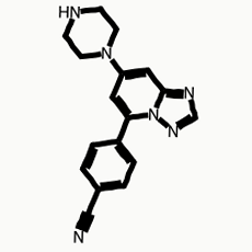 N#Cc1ccc(-c2cc(N3CCNCC3)cc3ncnn23)cc1